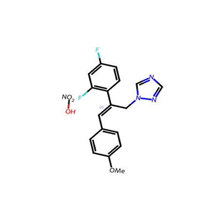 COc1ccc(/C=C(\Cn2cncn2)c2ccc(F)cc2F)cc1.O=[N+]([O-])O